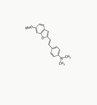 COc1ccc2cc(C=Cc3ccc(N(C)C)cc3)oc2c1